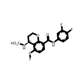 O=C(O)N[C@H]1CCOc2c(C(=O)Nc3ccc(F)c(F)c3)ccc(SF)c21